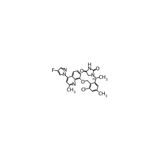 Cc1cc(Cl)c(COc2cccc3c(-n4cc(F)cn4)cc(C)nc23)c([C@H](C)N2CC(=O)NC2=O)c1